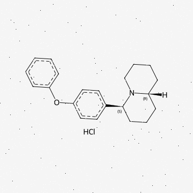 Cl.c1ccc(Oc2ccc([C@@H]3CCC[C@H]4CCCCN43)cc2)cc1